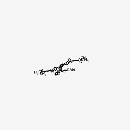 C=C(C)C(=O)OCCCCCCOC(=O)C1CCC(COc2ccc(OCC3CCC(C(=O)OCCCCCCOC(=O)C(=C)C)CC3)c(/C=N/N(CCOCCOC)c3nc4ccccc4s3)c2)CC1